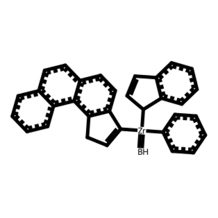 [BH]=[Zr]([C]1=CCc2c1ccc1ccc3ccccc3c21)([c]1ccccc1)[CH]1C=Cc2ccccc21